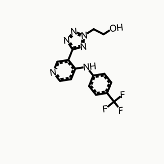 OCCn1nnc(-c2cnccc2Nc2ccc(C(F)(F)F)cc2)n1